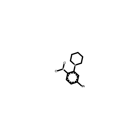 CC(C)c1ccc(P(Cl)Cl)c(N2CCCCC2)c1